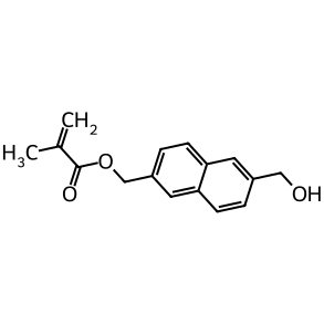 C=C(C)C(=O)OCc1ccc2cc(CO)ccc2c1